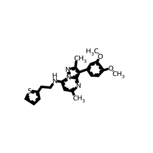 COc1ccc(-c2c(C)nn3c(NCCc4cccs4)cc(C)nc23)cc1OC